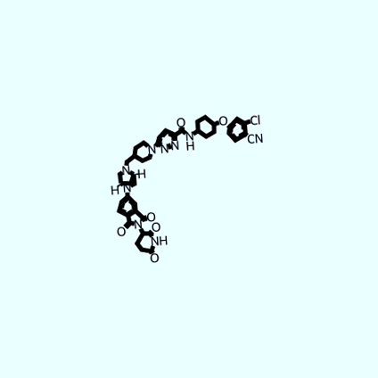 N#Cc1ccc(OC2CCC(NC(=O)c3ccc(N4CCC(CN5C[C@H]6C[C@@H]5CN6c5ccc6c(c5)C(=O)N(C5CCC(=O)NC5=O)C6=O)CC4)nn3)CC2)cc1Cl